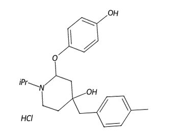 Cc1ccc(CC2(O)CCN(C(C)C)C(Oc3ccc(O)cc3)C2)cc1.Cl